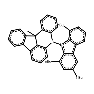 CCCCc1cc(CCCC)c2c(c1)c1cccc(CCCC)c1n2B1c2ccccc2C2(C)c3ccccc3-c3cccc1c32